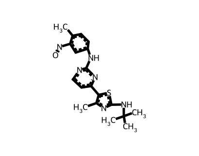 Cc1ccc(Nc2nccc(-c3sc(NC(C)(C)C)nc3C)n2)cc1N=O